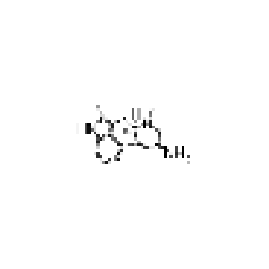 Cc1[nH]c2cccc3c2c1C[C@@H]1C3=C[C@H](N)CN1C